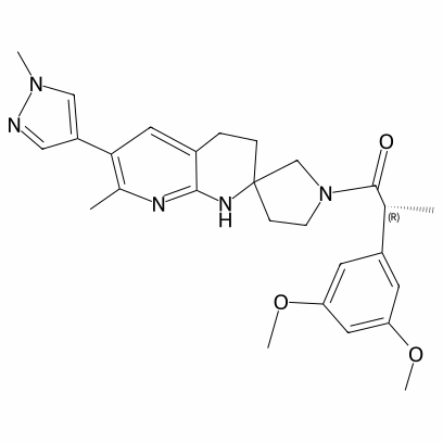 COc1cc(OC)cc([C@@H](C)C(=O)N2CCC3(CCc4cc(-c5cnn(C)c5)c(C)nc4N3)C2)c1